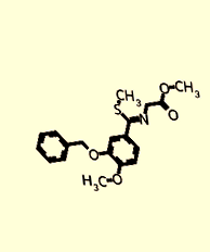 COC(=O)CN=C(SC)c1ccc(OC)c(OCc2ccccc2)c1